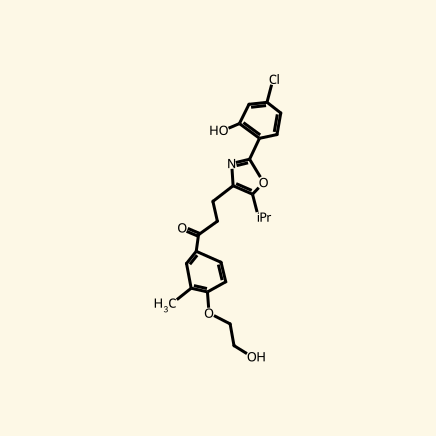 Cc1cc(C(=O)CCc2nc(-c3ccc(Cl)cc3O)oc2C(C)C)ccc1OCCO